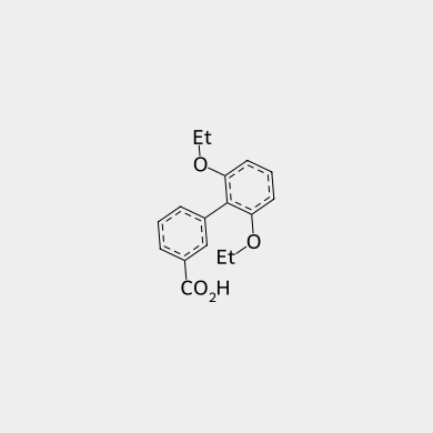 CCOc1cccc(OCC)c1-c1cccc(C(=O)O)c1